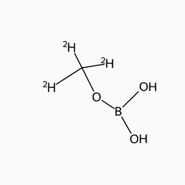 [2H]C([2H])([2H])OB(O)O